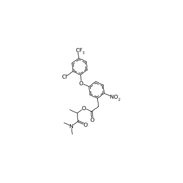 CC(OC(=O)Cc1cc(Oc2ccc(C(F)(F)F)cc2Cl)ccc1[N+](=O)[O-])C(=O)N(C)C